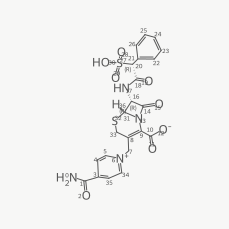 NC(=O)c1cc[n+](CC2=C(C(=O)[O-])N3C(=O)[C@@H](NC(=O)[C@@H](c4ccccc4)S(=O)(=O)O)[C@H]3SC2)cc1